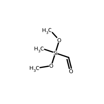 CO[Si](C)(C=O)OC